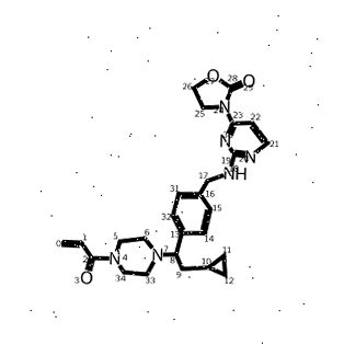 C=CC(=O)N1CCN(C(CC2CC2)c2ccc(CNc3nccc(N4CCOC4=O)n3)cc2)CC1